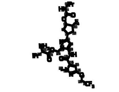 CC(C)NC(=O)O[C@@H]1C[C@H](c2cc(NC(=O)c3cc(OCC(F)(F)F)nn3C)n(COC(=O)[C@@H](N)C(C)C)n2)C[C@@H]1F